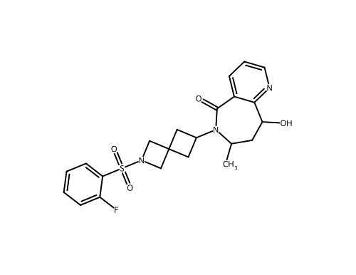 CC1CC(O)c2ncccc2C(=O)N1C1CC2(C1)CN(S(=O)(=O)c1ccccc1F)C2